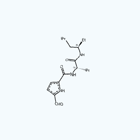 CC[C@H](CC(C)C)NC(=O)[C@@H](NC(=O)c1ccc(C=O)[nH]1)C(C)C